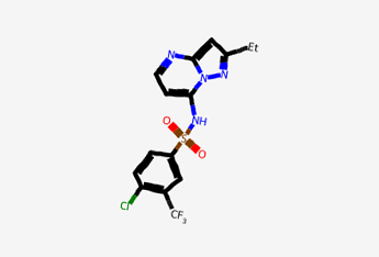 CCc1cc2nccc(NS(=O)(=O)c3ccc(Cl)c(C(F)(F)F)c3)n2n1